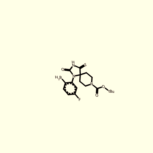 Bc1ccc(F)cc1N1C(=O)NC(=S)C12CCN(C(=O)OC(C)(C)C)CC2